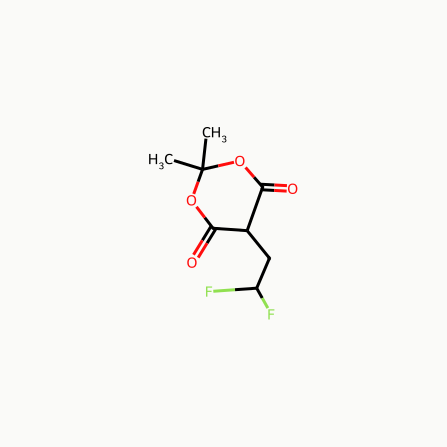 CC1(C)OC(=O)C(CC(F)F)C(=O)O1